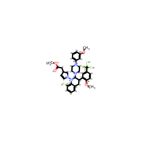 COC(=O)CC1C=CN(N2c3c(F)cccc3CC(c3cc(C(F)(F)F)ccc3OC)C2N2CCN(c3cccc(OC)c3)CC2)C1